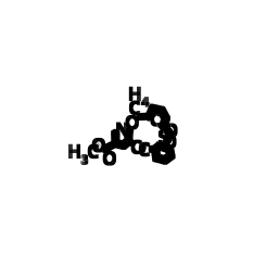 C.COC(=O)c1cnc2c(c1)CCc1ccccc1S(=O)(=O)c1cccc(c1)CO2